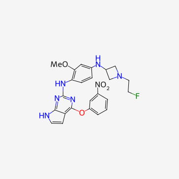 COc1cc(NC2CN(CCF)C2)ccc1Nc1nc(Oc2cccc([N+](=O)[O-])c2)c2cc[nH]c2n1